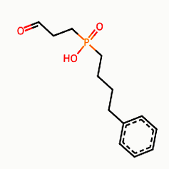 O=CCCP(=O)(O)CCCCc1ccccc1